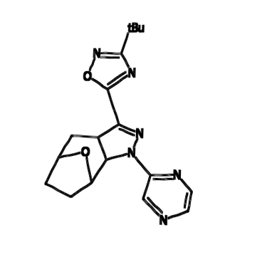 CC(C)(C)c1noc(C2=NN(c3cnccn3)C3C4CCC(CC23)O4)n1